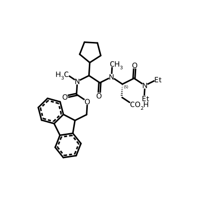 CCN(CC)C(=O)[C@H](CC(=O)O)N(C)C(=O)C(C1CCCC1)N(C)C(=O)OCC1c2ccccc2-c2ccccc21